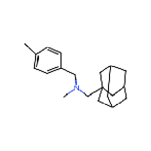 Cc1ccc(CN(C)CC23CC4CC(CC(C4)C2)C3)cc1